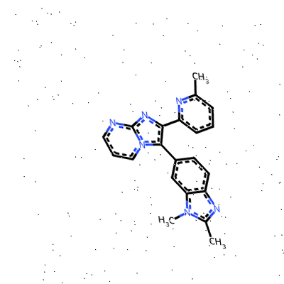 Cc1cccc(-c2nc3ncccn3c2-c2ccc3nc(C)n(C)c3c2)n1